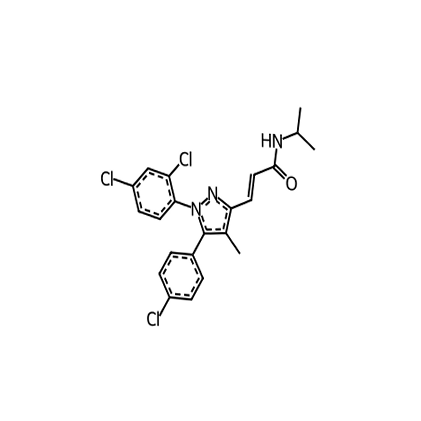 Cc1c(/C=C/C(=O)NC(C)C)nn(-c2ccc(Cl)cc2Cl)c1-c1ccc(Cl)cc1